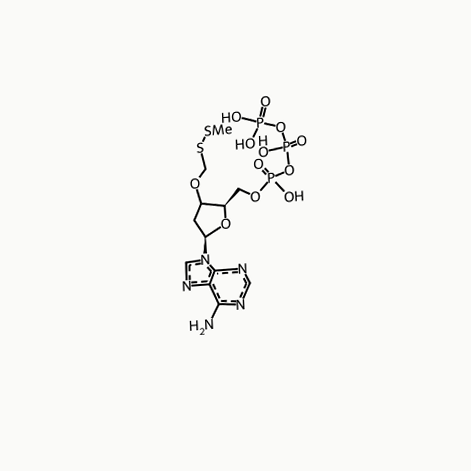 CSSCOC1C[C@H](n2cnc3c(N)ncnc32)O[C@@H]1COP(=O)(O)OP(=O)(O)OP(=O)(O)O